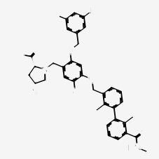 CNC(=O)c1cccc(-c2cccc(COc3cc(OCc4cc(F)cc(F)c4)c(CN4C[C@H](O)C[C@H]4C(=O)O)cc3Cl)c2C)c1C